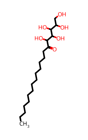 CCCCCCCCCCCCCCC(=O)C(O)C(O)C(O)C(O)CO